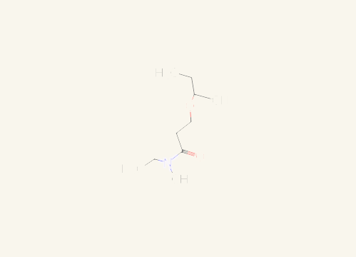 CCC(C)OCCC(=O)N(C)CC